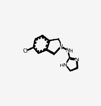 Clc1ccc2c(c1)CN(NC1=NCCN1)C2